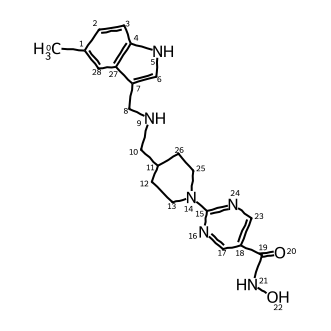 Cc1ccc2[nH]cc(CNCC3CCN(c4ncc(C(=O)NO)cn4)CC3)c2c1